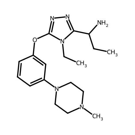 CCC(N)c1nnc(Oc2cccc(N3CCN(C)CC3)c2)n1CC